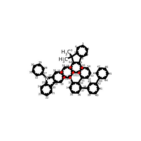 CC1(C)c2ccccc2-c2ccc(N(c3ccc4c(c3)c3ccccc3n4-c3ccccc3)c3cccc(-c4cccc(-c5ccccc5)c4)c3-c3ccccc3-c3ccccc3)cc21